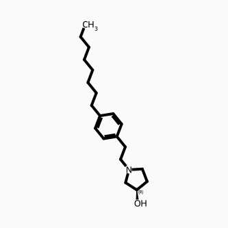 CCCCCCCCc1ccc(CCN2CC[C@@H](O)C2)cc1